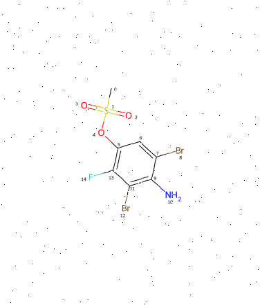 CS(=O)(=O)Oc1cc(Br)c(N)c(Br)c1F